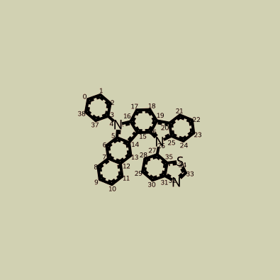 c1ccc(-n2c3cc4ccccc4cc3c3c2ccc2c4ccccc4n(-c4cccc5ncsc45)c23)cc1